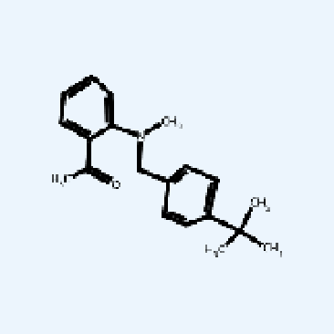 CC(=O)c1ccccc1N(C)Cc1ccc(C(C)(C)C)cc1